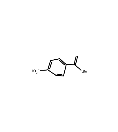 C=C(c1ccc(C(=O)O)cc1)C(C)(C)C